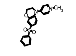 C[n+]1ccc(N2CCOc3cc(S(=O)(=O)c4ccccc4)ccc32)cc1